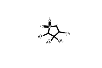 CC1CS(=O)(=O)C(C)C1(C)C